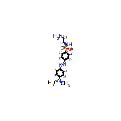 CN(C)c1ccc(/N=N/c2ccc(S(=O)(=O)NCCN)cc2)cc1